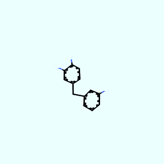 Nc1cccc(Cc2ccc(N)c(N)c2)c1